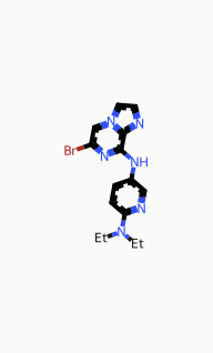 CCN(CC)c1ccc(Nc2nc(Br)cn3ccnc23)cn1